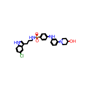 O=S(=O)(NCCCc1c[nH]c2ccc(Cl)cc12)c1ccc(Nc2cccc(N3CCC(O)CC3)c2)cc1